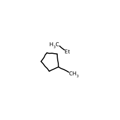 CC1CCCC1.CCC